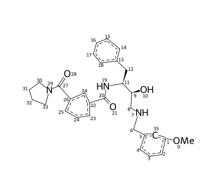 COc1cccc(CNC[C@H](O)[C@H](Cc2ccccc2)NC(=O)c2cccc(C(=O)N3CCCC3)c2)c1